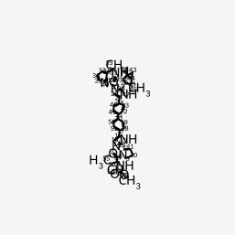 COC(=O)NC(C(=O)N1CCC[C@H]1c1ncc(-c2ccc(-c3ccc(-c4cnc([C@H]5[C@H](C(=O)N[C@@H](C)c6cccnc6)[C@@H]6CC6[C@H]5C)[nH]4)cc3)cc2)[nH]1)C(C)C